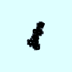 O=C(c1ccccc1N1CCOCC1)n1ccc(-c2cccn(Cc3ccsc3)c2=O)n1